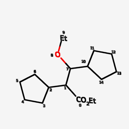 CCOC(=O)C(C1CCCC1)C(OCC)C1CCCC1